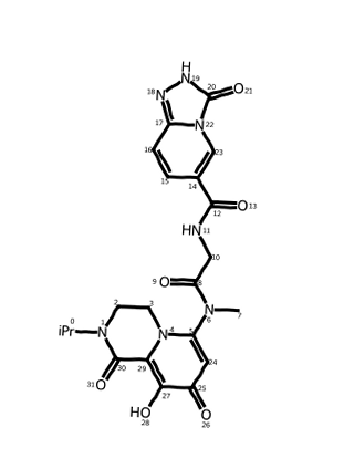 CC(C)N1CCn2c(N(C)C(=O)CNC(=O)c3ccc4n[nH]c(=O)n4c3)cc(=O)c(O)c2C1=O